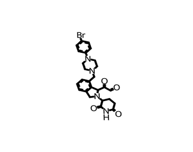 O=CC(=O)C1c2c(CN3CCN(c4ccc(Br)cc4)CC3)cccc2CN1C1CCC(=O)NC1=O